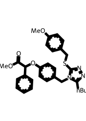 CCCCc1nnc(SCc2ccc(OC)cc2)n1Cc1ccc(OC(C(=O)OC)c2ccccc2)cc1